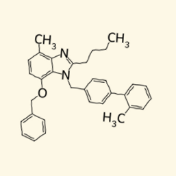 CCCCc1nc2c(C)ccc(OCc3ccccc3)c2n1Cc1ccc(-c2ccccc2C)cc1